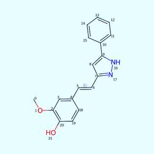 COc1cc(/C=C/c2cc(-c3ccccc3)[nH]n2)ccc1O